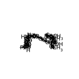 Cc1cc([C@H](CCOCCOCCOCCOc2ccc(-c3cnc4[nH]cc(C(=O)c5c(F)ccc(N(N6CC[C@@H](F)C6)[SH](=O)=O)c5F)c4c3)cc2)C(=O)N2C[C@H](O)C[C@H]2C(=O)N[C@@H](C)c2ccc(-c3scnc3C)cc2)on1